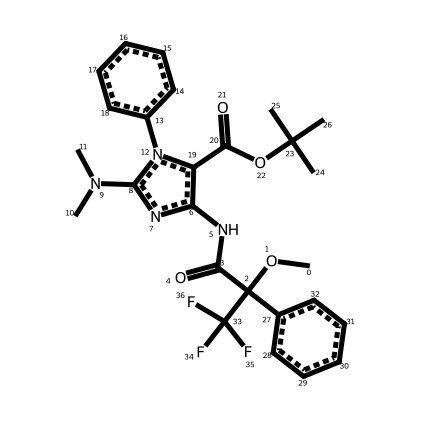 COC(C(=O)Nc1nc(N(C)C)n(-c2ccccc2)c1C(=O)OC(C)(C)C)(c1ccccc1)C(F)(F)F